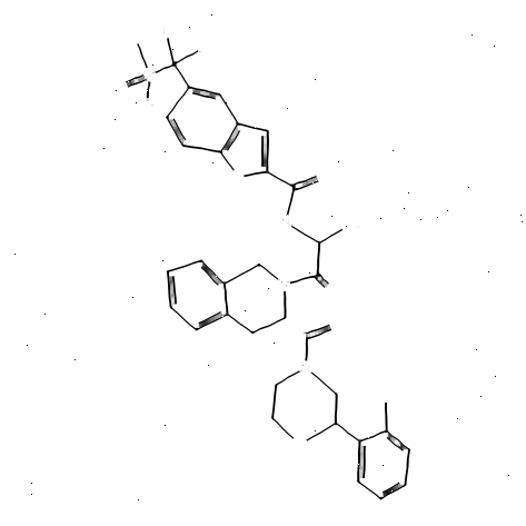 CC(C)(C)C(NC(=O)c1cc2cc(C(F)(F)P(=O)(O)O)ccc2s1)C(=O)N1Cc2ccccc2C[C@H]1C(=O)N1CCOC(c2ccccc2F)C1